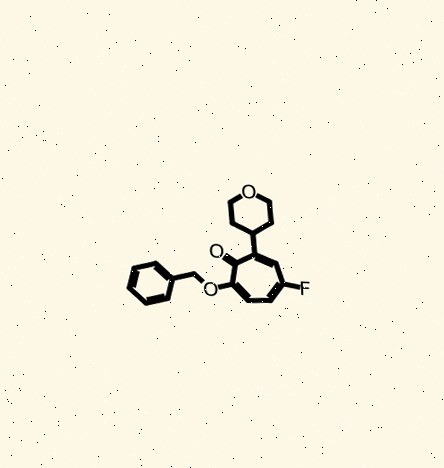 O=c1c(OCc2ccccc2)ccc(F)cc1C1CCOCC1